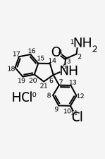 Cl.NCC(=O)NC1(c2ccc(Cl)cc2)Cc2ccccc2C1